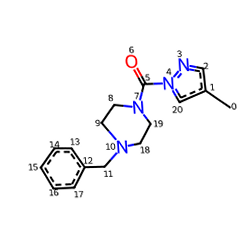 Cc1cnn(C(=O)N2CCN(Cc3ccccc3)CC2)c1